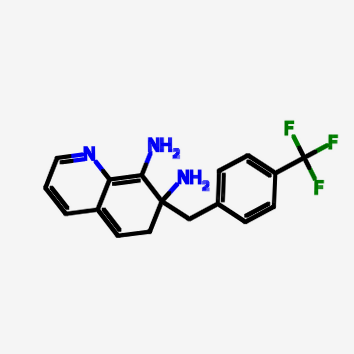 NC1=c2ncccc2=CCC1(N)Cc1ccc(C(F)(F)F)cc1